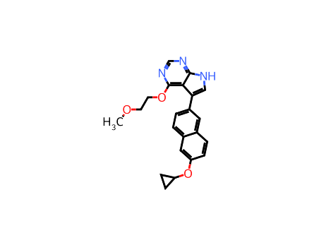 COCCOc1ncnc2[nH]cc(-c3ccc4cc(OC5CC5)ccc4c3)c12